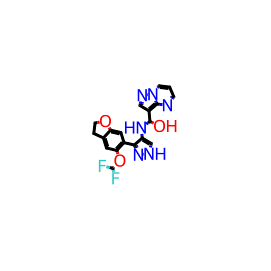 OC(Nc1c[nH]nc1-c1cc2c(cc1OC(F)F)CCO2)c1cnn2cccnc12